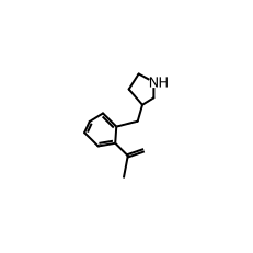 C=C(C)c1ccccc1CC1CCNC1